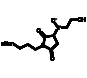 CCCCCCCCCCCCN1C(=O)CC([S+]([O-])CCO)C1=O